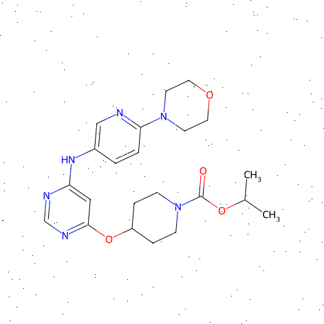 CC(C)OC(=O)N1CCC(Oc2cc(Nc3ccc(N4CCOCC4)nc3)ncn2)CC1